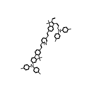 C=CC1=C(/C=C\CN(c2ccc(C)cc2)c2ccc(C)cc2)c2ccc(/C=C/c3ccc(/C=C/c4ccc5c(c4)C(C)(C)c4cc(N(c6ccc(C)cc6)c6ccc(C)cc6)ccc4-5)nc3)cc2C1(C)C